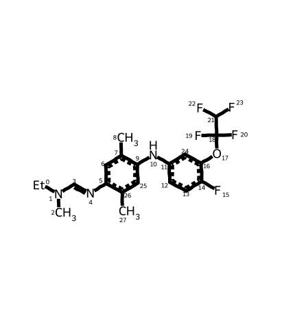 CCN(C)/C=N/c1cc(C)c(Nc2ccc(F)c(OC(F)(F)C(F)F)c2)cc1C